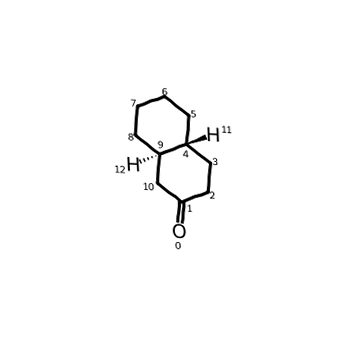 O=C1CC[C@H]2CCCC[C@@H]2C1